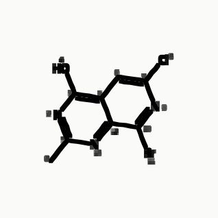 Cc1nc(O)c2cc(Cl)nc(Br)c2n1